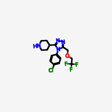 FC(F)(F)COCc1nnc(C2CCNCC2)n1-c1ccc(Cl)cc1